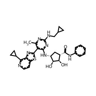 Cc1nc(NCC2CC2)nc(N[C@@H]2C[C@H](C(=O)Nc3ccccc3)[C@@H](O)[C@H]2O)c1-c1nc2c(C3CC3)nccc2s1